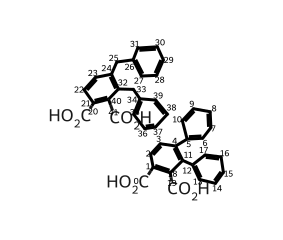 O=C(O)c1ccc(-c2ccccc2)c(-c2ccccc2)c1C(=O)O.O=C(O)c1ccc(Cc2ccccc2)c(Cc2ccccc2)c1C(=O)O